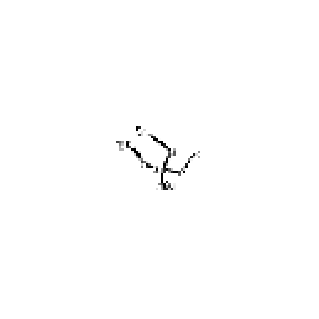 CCC[CH2][Sn]([O]CC)([O]CC)[O]CC